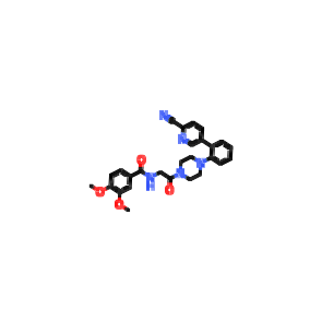 COc1ccc(C(=O)NCC(=O)N2CCN(c3ccccc3-c3ccc(C#N)nc3)CC2)cc1OC